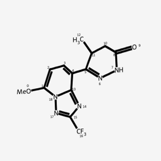 COc1ccc(C2=NNC(=O)CC2C)c2nc(C(F)(F)F)nn12